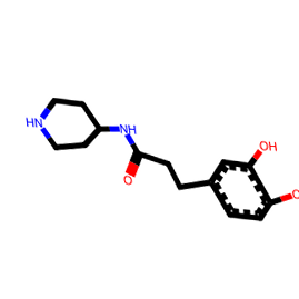 O=C(CCc1ccc(O)c(O)c1)NC1CCNCC1